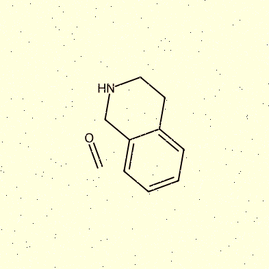 C=O.c1ccc2c(c1)CCNC2